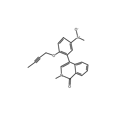 CC#CCOc1ccc([S+](C)[O-])cc1-c1cn(C)c(=O)c2ccccc12